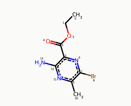 CCOC(=O)c1nc(Br)c(C)nc1N